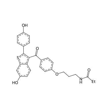 CCC(=O)NCCCOc1ccc(C(=O)c2c(-c3ccc(O)cc3)sc3cc(O)ccc23)cc1